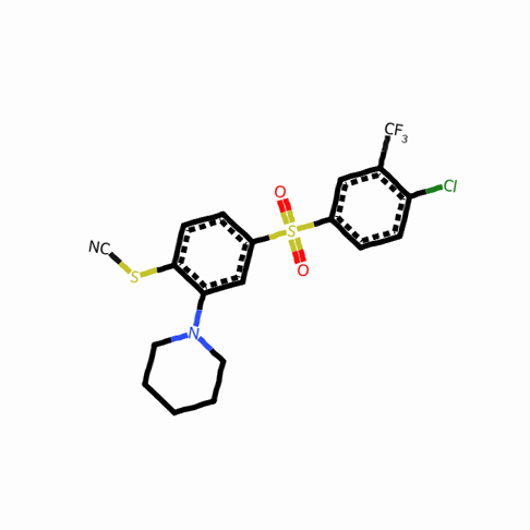 N#CSc1ccc(S(=O)(=O)c2ccc(Cl)c(C(F)(F)F)c2)cc1N1CCCCC1